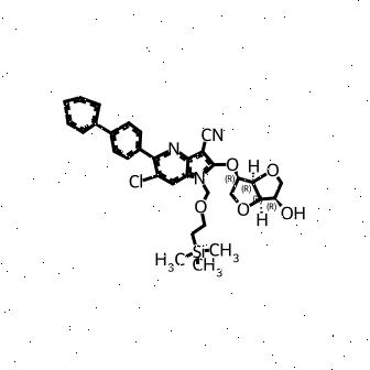 C[Si](C)(C)CCOCn1c(O[C@@H]2CO[C@H]3[C@@H]2OC[C@H]3O)c(C#N)c2nc(-c3ccc(-c4ccccc4)cc3)c(Cl)cc21